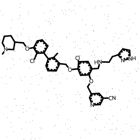 Cc1c(COc2cc(OCc3cncc(C#N)c3)c(CNCCc3cc[nH]n3)cc2Cl)cccc1-c1cccc(OCC2CCCN(C)C2)c1Cl